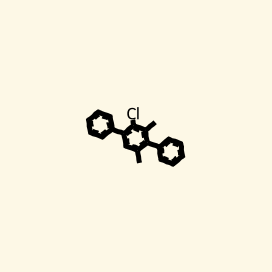 Cc1cc(-c2ccccc2)c(Cl)c(C)c1-c1ccccc1